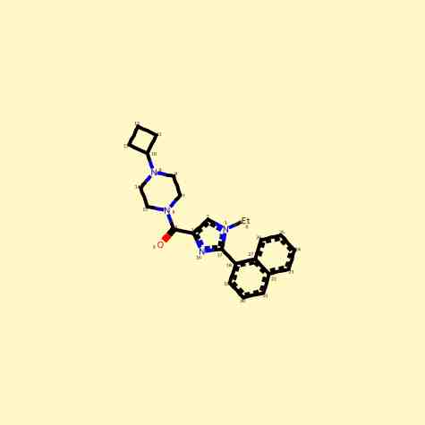 CCn1cc(C(=O)N2CCN(C3CCC3)CC2)nc1-c1cccc2ccccc12